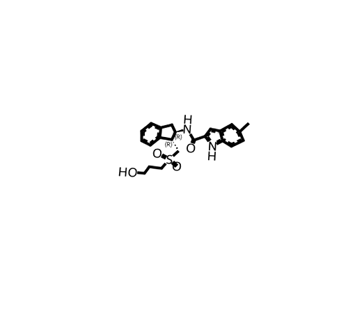 Cc1ccc2[nH]c(C(=O)N[C@@H]3Cc4ccccc4[C@H]3CS(=O)(=O)CCCO)cc2c1